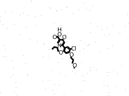 CCC1COc2cc(OCCCOC)c(Cl)cc2-c2cc(=O)c(C(=O)O)cn21